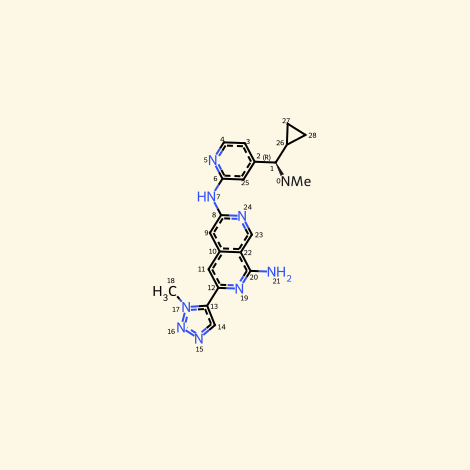 CN[C@@H](c1ccnc(Nc2cc3cc(-c4cnnn4C)nc(N)c3cn2)c1)C1CC1